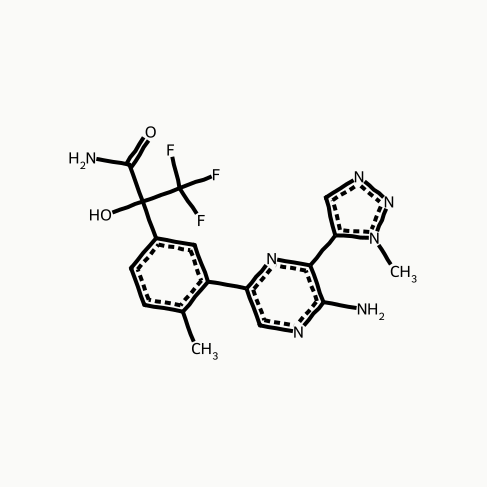 Cc1ccc(C(O)(C(N)=O)C(F)(F)F)cc1-c1cnc(N)c(-c2cnnn2C)n1